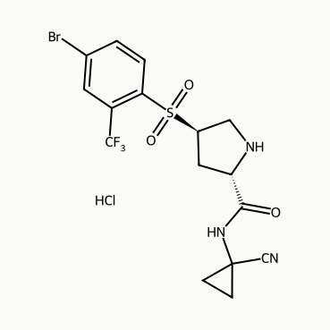 Cl.N#CC1(NC(=O)[C@@H]2C[C@@H](S(=O)(=O)c3ccc(Br)cc3C(F)(F)F)CN2)CC1